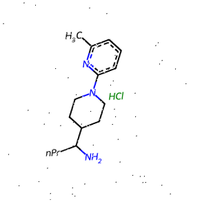 CCCC(N)C1CCN(c2cccc(C)n2)CC1.Cl